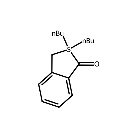 CCCCS1(CCCC)Cc2ccccc2C1=O